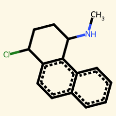 CNC1CCC(Cl)c2ccc3ccccc3c21